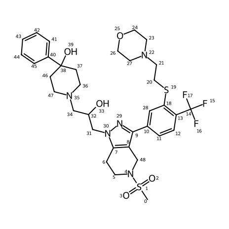 CS(=O)(=O)N1CCc2c(c(-c3ccc(C(F)(F)F)c(SCCN4CCOCC4)c3)nn2CC(O)CN2CCC(O)(c3ccccc3)CC2)C1